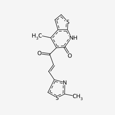 Cc1nc(/C=C/C(=O)c2c(C)c3ccsc3[nH]c2=O)cs1